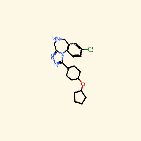 Clc1ccc2c(c1)CNCc1nnc(C3CCC(OC4CCCC4)CC3)n1-2